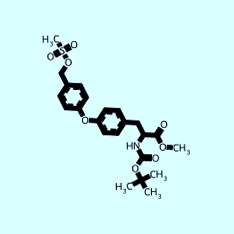 COC(=O)C(Cc1ccc(Oc2ccc(COS(C)(=O)=O)cc2)cc1)NC(=O)OC(C)(C)C